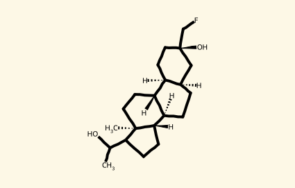 CC(O)C1CC[C@H]2[C@@H]3CC[C@@H]4C[C@@](O)(CF)CC[C@@H]4[C@H]3CC[C@]12C